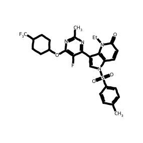 CCn1c(=O)ccc2c1c(-c1nc(C)nc(OC3CCC(C(F)(F)F)CC3)c1F)cn2S(=O)(=O)c1ccc(C)cc1